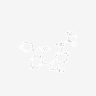 COC1(c2cncc(-c3c[nH]c4cnc(NC(N)=O)cc34)n2)CCOC1